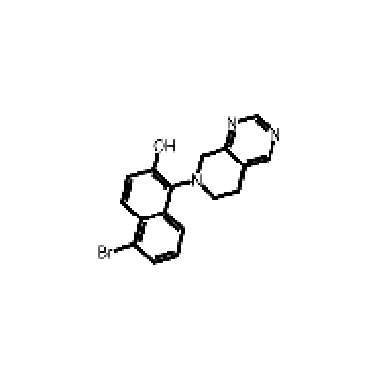 Oc1ccc2c(Br)cccc2c1N1CCc2cncnc2C1